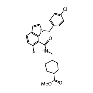 COC(=O)[C@H]1CC[C@H](CNC(=O)c2c(F)ccc3ccn(Cc4ccc(Cl)cc4)c23)CC1